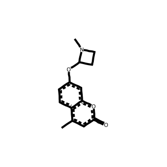 Cc1cc(=O)oc2cc(OC3CCN3C)ccc12